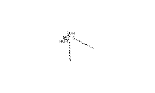 CCCCCCCCCCCCCCCCSCCC(SCCCCCCCCCCCCCCCC)C(Cc1cc(C(C)(C)C)c(O)cc1C)C(=O)O